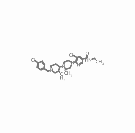 CCNC(=O)c1cnc(N2CCN(C3CCN(Cc4ccc(Cl)cc4)CC3C)[C@@H](C)C2)c(Cl)c1